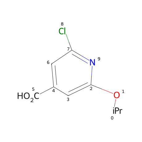 CC(C)Oc1cc(C(=O)O)cc(Cl)n1